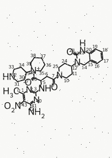 Cc1nc(NC(CC(=O)N2CCC(N3Cc4ccccc4NC3=O)CC2)C(=O)[N+]2(C3CCNCC3)CCCCC2)nc(N)c1[N+](=O)[O-]